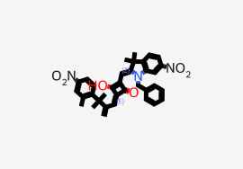 C=C(/C=C1/C(=O)C(/C=C2\N(Cc3ccccc3)c3cc([N+](=O)[O-])ccc3C2(C)C)=C1O)C(C)(C)c1ccc([N+](=O)[O-])cc1C